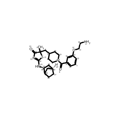 CC1(CC2CCN(C(=O)c3cccc(OCCN)c3)CC2)SC(N[C@H]2C[C@H]3CCC2C3)=NC1=O